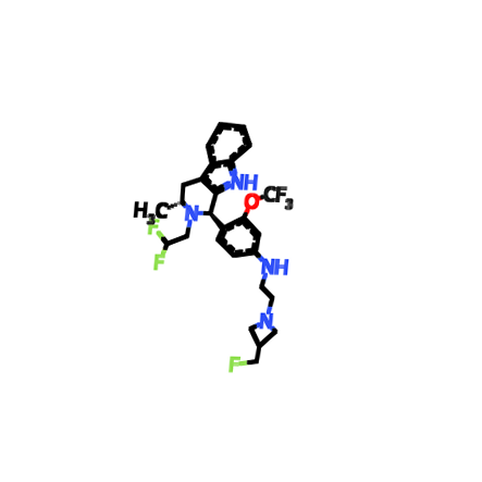 C[C@@H]1Cc2c([nH]c3ccccc23)[C@@H](c2ccc(NCCN3CC(CF)C3)cc2OC(F)(F)F)N1CC(F)F